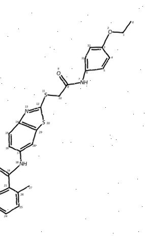 CCOc1ccc(NC(=O)CSc2nc3ccc(NC(=O)c4ccccc4C)cc3s2)cc1